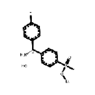 CCOP(C)(=O)c1ccc([C@H](N)c2ccc(F)cc2)cc1.Cl